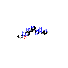 CNC(=O)N1CCC(c2cc3c(-c4cncc(NCc5cccnc5)n4)ccnc3[nH]2)CC1